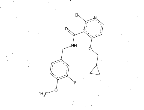 COc1ccc(CNC(=O)c2c(OCC3CC3)ccnc2Cl)cc1F